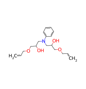 C=CCOCC(O)CN(CC(O)COCC=C)c1ccccc1